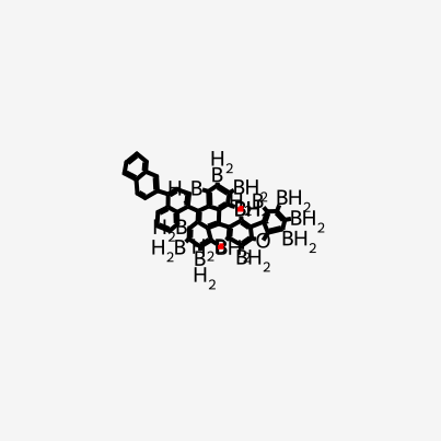 Bc1c(B)c(B)c2c(oc3c(B)c(B)c(-c4c5c(B)c(B)c(B)c(B)c5c(-c5ccc(-c6ccc7ccccc7c6)c6ccccc56)c5c(B)c(B)c(B)c(B)c45)c(B)c32)c1B